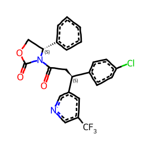 O=C(C[C@@H](c1ccc(Cl)cc1)c1cncc(C(F)(F)F)c1)N1C(=O)OC[C@@H]1c1ccccc1